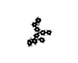 c1ccc(-c2ccc(N(c3ccc(-c4cccc5c4oc4ccccc45)cc3)c3ccc4c5c6sc7ccccc7c6ccc5n(-c5ccccc5)c4c3)cc2)cc1